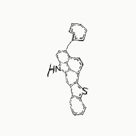 c1ccc(-c2ccc3[nH]c4cc5c6ccccc6sc5c5ccc2c3c45)cc1